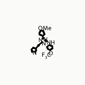 COc1ccc(-c2nc(C#Cc3cccnc3)nc(Nc3ccc(OC(F)(F)F)cc3)n2)cc1